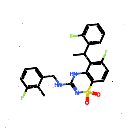 Cc1c(F)cccc1CNC1=NS(=O)(=O)c2ccc(F)c(C(C)c3ccccc3F)c2N1